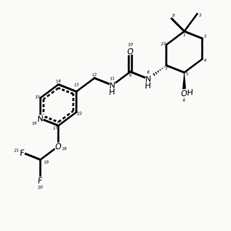 CC1(C)CC[C@@H](O)[C@H](NC(=O)NCc2ccnc(OC(F)F)c2)C1